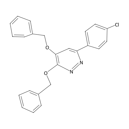 Clc1ccc(-c2cc(OCc3ccccc3)c(OCc3ccccc3)nn2)cc1